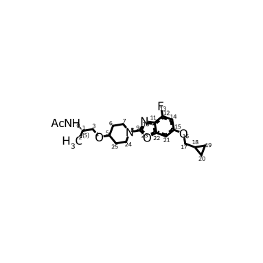 CC(=O)N[C@@H](C)COC1CCN(c2nc3c(F)cc(OCC4CC4)cc3o2)CC1